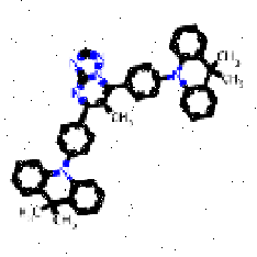 Cc1c(-c2ccc(N3c4ccccc4C(C)(C)c4ccccc43)cc2)nc2ncnn2c1-c1ccc(N2c3ccccc3C(C)(C)c3ccccc32)cc1